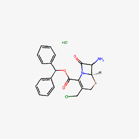 Cl.NC1C(=O)N2C(C(=O)OC(c3ccccc3)c3ccccc3)=C(CCl)CS[C@H]12